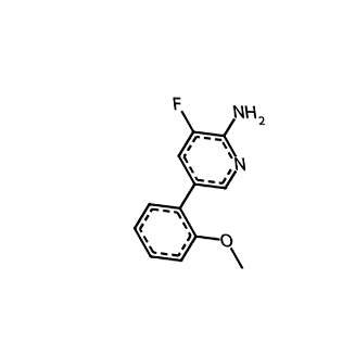 COc1ccccc1-c1cnc(N)c(F)c1